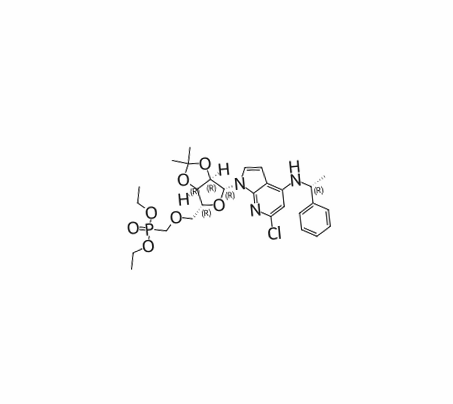 CCOP(=O)(COC[C@H]1O[C@@H](n2ccc3c(N[C@H](C)c4ccccc4)cc(Cl)nc32)[C@@H]2OC(C)(C)O[C@@H]21)OCC